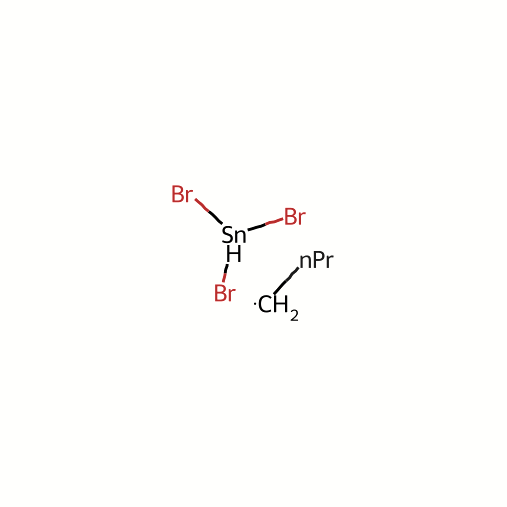 [Br][SnH]([Br])[Br].[CH2]CCC